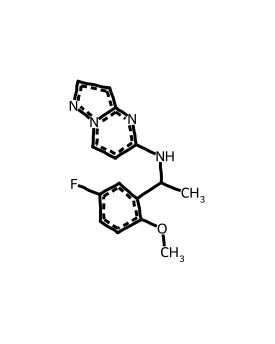 COc1ccc(F)cc1C(C)Nc1ccn2nccc2n1